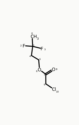 CC(F)(F)CCOC(=O)CCl